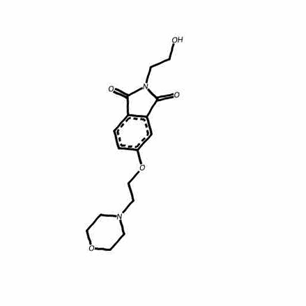 O=C1c2ccc(OCCN3CCOCC3)cc2C(=O)N1CCO